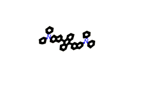 c1ccc(N(c2ccccc2)c2ccc3cc(-c4c5ccccc5c(-c5ccc6ccc(N(c7ccccc7)c7ccccc7)cc6c5)c5ccccc45)ccc3c2)cc1